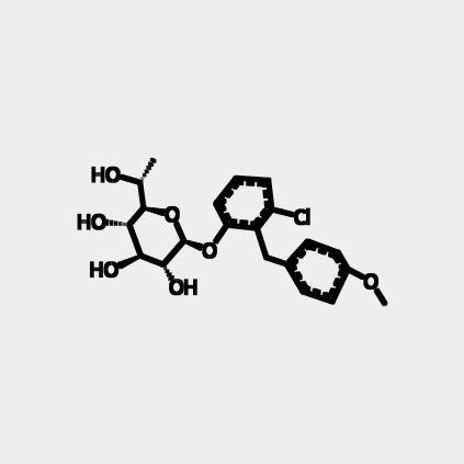 COc1ccc(Cc2c(Cl)cccc2O[C@@H]2O[C@H]([C@@H](C)O)[C@@H](O)[C@H](O)[C@H]2O)cc1